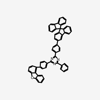 c1ccc(-c2nc(-c3ccc(-c4ccc5c(c4)-c4ccccc4C54c5ccccc5-c5ccccc54)cc3)nc(-c3ccc(-c4cccc5oc6ccccc6c45)cc3)n2)cc1